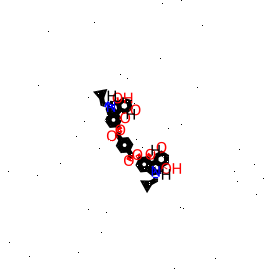 O=C(Oc1ccc2c3c1O[C@H]1C(=O)CC[C@@]4(O)[C@@H](C2)N(CC2CC2)CC[C@]314)c1ccc(C(=O)Oc2ccc3c4c2O[C@H]2C(=O)CC[C@@]5(O)[C@@H](C3)N(CC3CC3)CC[C@]425)cc1